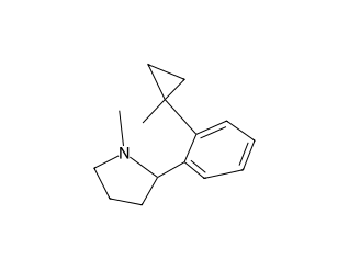 CN1CCCC1c1ccccc1C1(C)CC1